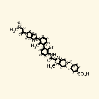 CCc1c(NC(=O)c2nc3c(n2C)CCN(C[C@H]2CC[C@H](C(=O)O)CC2)C3)cccc1-c1cccc(-c2nc3c(s2)CN(C(=O)CN(C)CC)C3)c1C